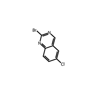 Clc1ccc2nc(Br)ncc2c1